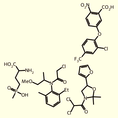 CC1(C)OC(c2ccco2)CN1C(=O)C(Cl)Cl.CCc1cccc(C)c1N(C(=O)CCl)C(C)COC.CP(=O)(O)CCC(N)C(=O)O.O=C(O)c1cc(Oc2ccc(C(F)(F)F)cc2Cl)ccc1[N+](=O)[O-]